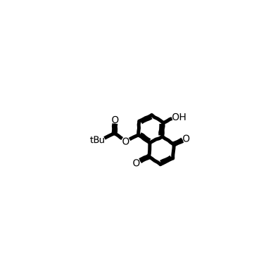 CC(C)(C)C(=O)Oc1ccc(O)c2c1C(=O)C=CC2=O